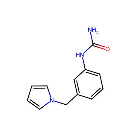 NC(=O)Nc1cccc(Cn2cccc2)c1